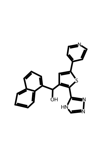 OC(c1cc(-c2ccncc2)sc1-c1nnc[nH]1)c1cccc2ccccc12